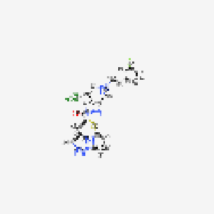 Cl.Cl.O=C(NCC1CCN(CCc2cccc(F)c2)CC1)C1=Cc2cnc3cccc(n23)S1